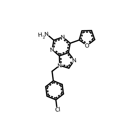 Nc1nc(-c2ccco2)c2ncn(Cc3ccc(Cl)cc3)c2n1